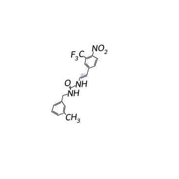 Cc1cccc(CNC(=O)N/C=C/c2ccc([N+](=O)[O-])c(C(F)(F)F)c2)c1